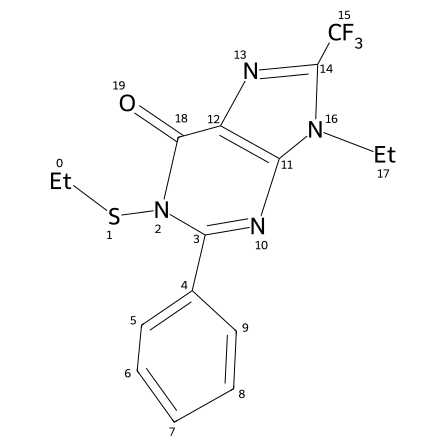 CCSn1c(-c2ccccc2)nc2c(nc(C(F)(F)F)n2CC)c1=O